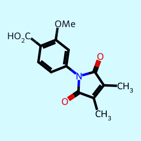 COc1cc(N2C(=O)C(C)=C(C)C2=O)ccc1C(=O)O